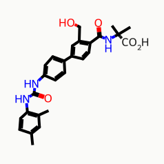 Cc1ccc(NC(=O)Nc2ccc(-c3ccc(C(=O)NC(C)(C)C(=O)O)c(CO)c3)cc2)c(C)c1